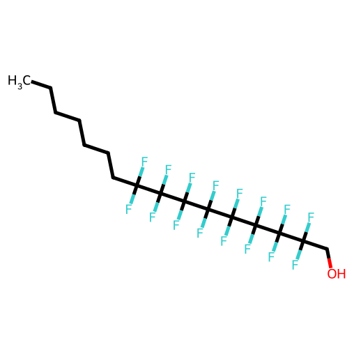 CCCCCCCC(F)(F)C(F)(F)C(F)(F)C(F)(F)C(F)(F)C(F)(F)C(F)(F)C(F)(F)CO